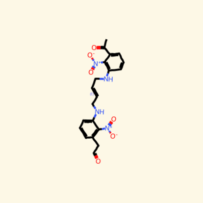 CC(=O)c1cccc(NC/C=C/CNc2cccc(CC=O)c2[N+](=O)[O-])c1[N+](=O)[O-]